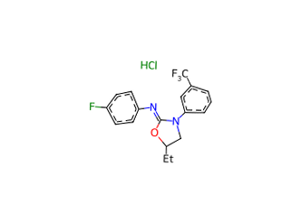 CCC1CN(c2cccc(C(F)(F)F)c2)C(=Nc2ccc(F)cc2)O1.Cl